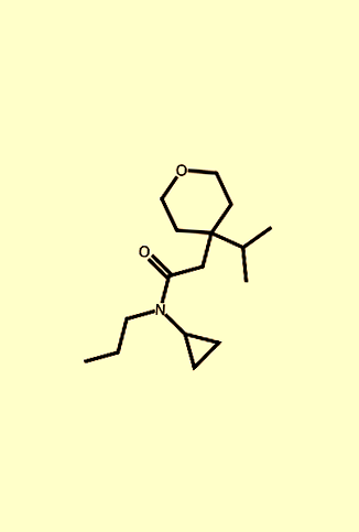 CCCN(C(=O)CC1(C(C)C)CCOCC1)C1CC1